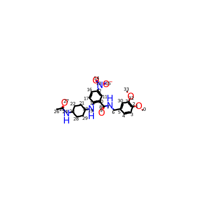 COc1ccc(CNC(=O)c2cc([N+](=O)[O-])ccc2NC2CCC(NC(C)=O)CC2)cc1OC